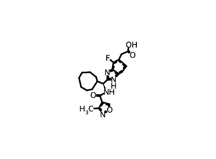 Cc1nocc1C(=O)N[C@H](c1nc2c(F)c(CC(=O)O)ccc2[nH]1)C1CCCCCCC1